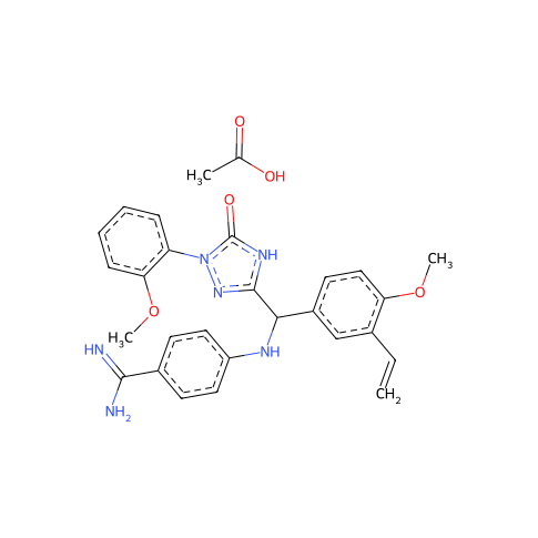 C=Cc1cc(C(Nc2ccc(C(=N)N)cc2)c2nn(-c3ccccc3OC)c(=O)[nH]2)ccc1OC.CC(=O)O